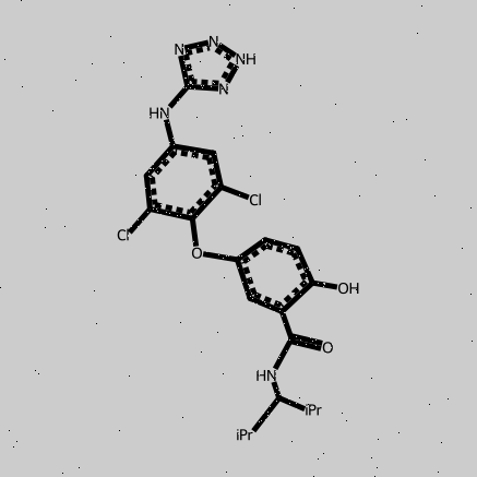 CC(C)C(NC(=O)c1cc(Oc2c(Cl)cc(Nc3nn[nH]n3)cc2Cl)ccc1O)C(C)C